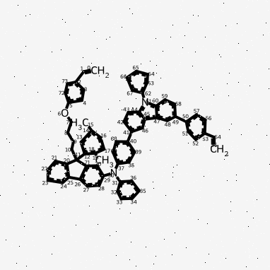 C=Cc1ccc(OCCCCC2(c3cc(C)ccc3C)c3ccccc3-c3ccc(N(c4ccccc4)c4ccc(-c5ccc6c(c5)c5cc(-c7ccc(C=C)cc7)ccc5n6-c5ccccc5)cc4)cc32)cc1